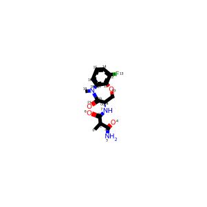 CC(C(N)=O)C(=O)N[C@H]1COc2c(F)cccc2N(C)C1=O